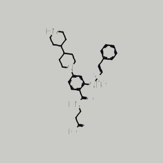 O=C(O)CCNC(=O)c1ccc(N2CCC(C3CCNCC3)CC2)cc1NS(=O)(=O)C=Cc1ccccc1